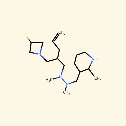 C=CCC(CN1CC(F)C1)CN(C)N(C)CC1CCCNC1C